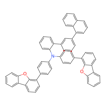 c1cc(-c2ccccc2N(c2ccc(-c3cccc4c3oc3ccccc34)cc2)c2ccc(-c3cccc4c3oc3ccccc34)cc2)cc(-c2cccc3ccccc23)c1